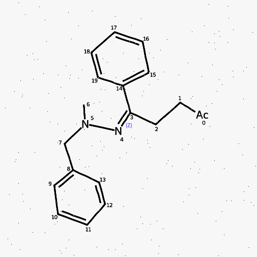 CC(=O)CC/C(=N/N(C)Cc1ccccc1)c1ccccc1